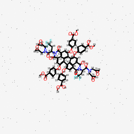 COC(=O)c1ccc(Oc2cc3c4c(cc(Oc5ccc(C(=O)OC)cc5)c5c6c(Oc7ccc(C(=O)OC)cc7)cc7c8c(cc(Oc9ccc(C(=O)OC)cc9)c(c2c45)c86)C(=O)N(C(CC(F)(F)F)C(=O)N(CC2CO2)CC2CO2)C7=O)C(=O)N(C(CC(F)(F)F)C(=O)N(CC2CO2)CC2CO2)C3=O)cc1